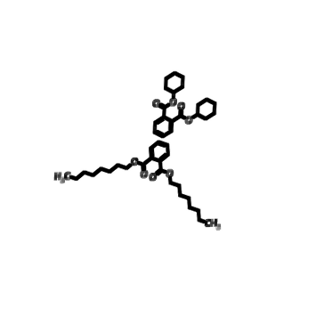 CCCCCCCCOC(=O)c1ccccc1C(=O)OCCCCCCCC.O=C(OC1CCCCC1)c1ccccc1C(=O)OC1CCCCC1